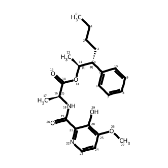 CCCC[C@H](c1ccccc1)[C@H](C)OC(=O)[C@H](C)NC(=O)c1nccc(OC)c1O